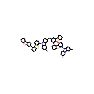 Cc1ccc2c(c1)c1cc(Cc3cc(-c4cccc5sc6c(-n7c8ccc(C)cc8c8cc(C)ccc87)cccc6c45)c4oc5ccccc5c4c3)ccc1n2-c1cccc2c1sc1cccc(-c3ccc4c(c3)oc3ccccc34)c12